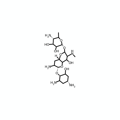 CNC1C(O[C@H]2OC(C)[C@@H](N)C(O)C2O)O[C@H]2CC(N)[C@@H](O[C@@H]3C(N)C[C@@H](N)CC3O)OC2C1O